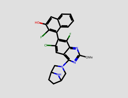 COc1nc(N2CC3CCC(C2)N3)c2cc(Cl)c(-c3c(F)c(O)cc4ccccc34)c(F)c2n1